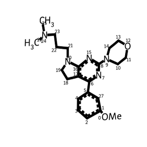 COc1cccc(-c2nc(N3CCOCC3)nc3c2CCN3CCCN(C)C)c1